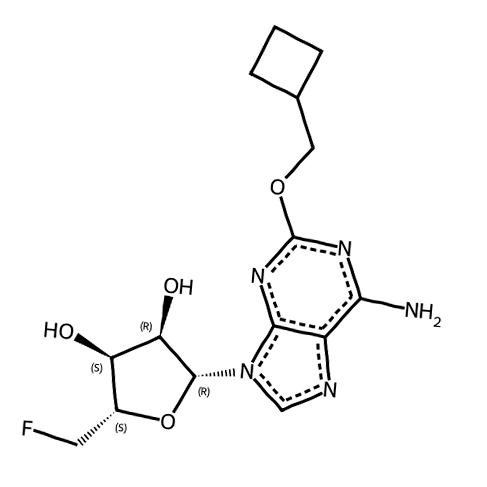 Nc1nc(OCC2CCC2)nc2c1ncn2[C@@H]1O[C@H](CF)[C@@H](O)[C@H]1O